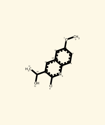 COc1ccc2nc(Cl)c(C(C)O)cc2c1